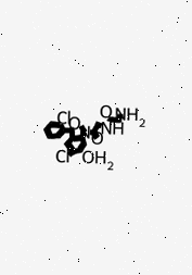 CN(C(=O)CNC(=O)CN)c1ccc(Cl)cc1C(=O)c1ccccc1Cl.O